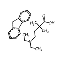 CCN(CC)CCC(C)(C)C(=O)O.c1ccc2c(c1)Cc1ccccc1-2